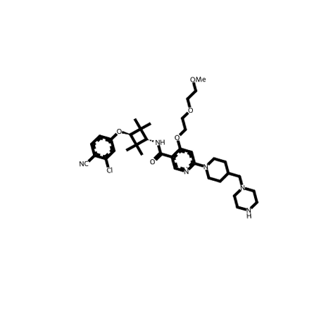 COCCOCCOc1cc(N2CCC(CN3CCNCC3)CC2)ncc1C(=O)N[C@H]1C(C)(C)[C@H](Oc2ccc(C#N)c(Cl)c2)C1(C)C